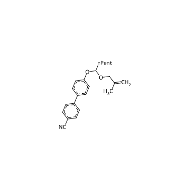 C=C(C)COC(CCCCC)Oc1ccc(-c2ccc(C#N)cc2)cc1